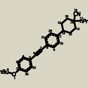 CCCCOc1ccc(C#Cc2ccc(C3CCC(C#N)(CCC)CC3)cc2)cc1